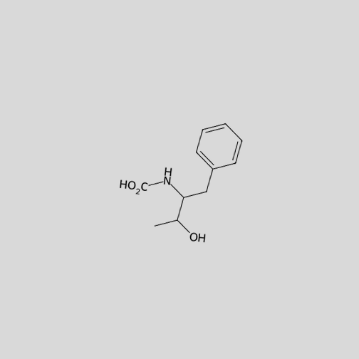 CC(O)C(Cc1ccccc1)NC(=O)O